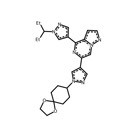 CCC(CC)n1cc(-c2nc(-c3cnn(C4CCC5(CC4)OCCO5)c3)cn3nccc23)cn1